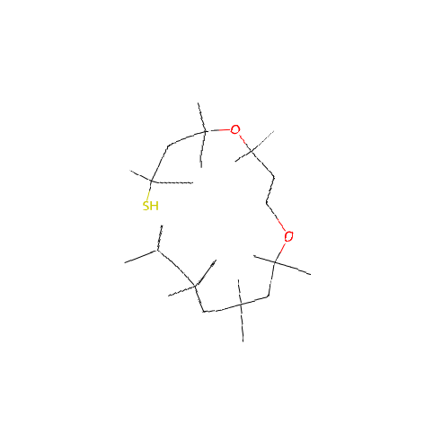 CC(C)C(C)(C)CC(C)(C)CC(C)(C)OCCC(C)(C)OC(C)(C)CC(C)(C)S